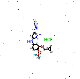 Cl.[N-]=[N+]=NC[C@H]1C[C@H](Nc2ccc(OC(F)F)c(OCC3CC3)c2)CN1